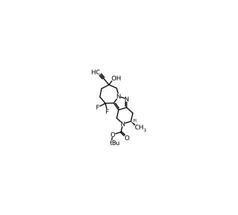 C#CC1(O)CCC(F)(F)c2c3c(nn2C1)C[C@@H](C)N(C(=O)OC(C)(C)C)C3